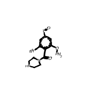 CCCc1cc(P=O)cc(OP)c1C(=O)N1CCNCC1